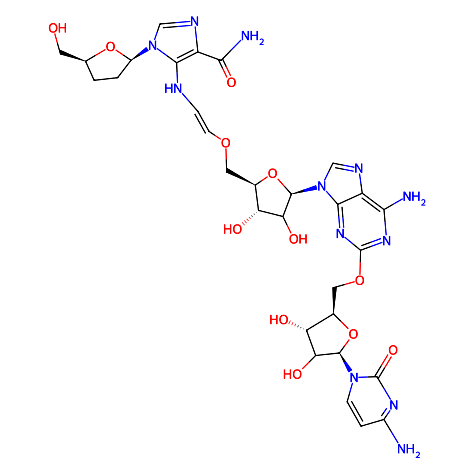 NC(=O)c1ncn([C@H]2CC[C@@H](CO)O2)c1N/C=C/OC[C@H]1O[C@@H](n2cnc3c(N)nc(OC[C@H]4O[C@@H](n5ccc(N)nc5=O)C(O)[C@@H]4O)nc32)C(O)[C@@H]1O